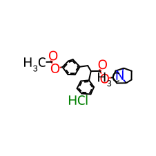 CC(=O)Oc1ccc(CC(C(=O)OC2CC3CCC(C2)N3C)c2ccccc2)cc1.Cl